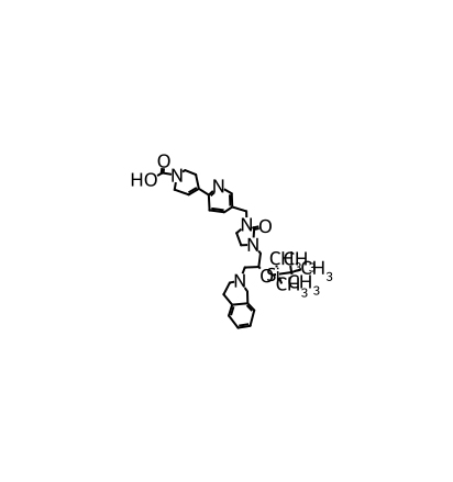 CC(C)(C)[Si](C)(C)OC(CN1CCc2ccccc2C1)CN1CCN(Cc2ccc(C3=CCN(C(=O)O)CC3)nc2)C1=O